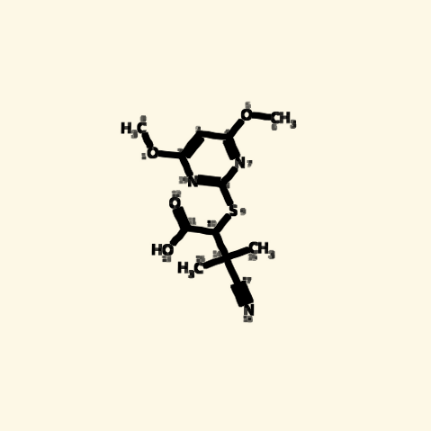 COc1cc(OC)nc(SC(C(=O)O)C(C)(C)C#N)n1